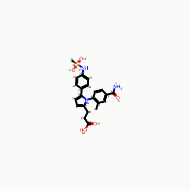 Cc1cc(C(N)=O)ccc1-n1c(CCC(=O)O)ccc1-c1ccc(NS(C)(=O)=O)cc1